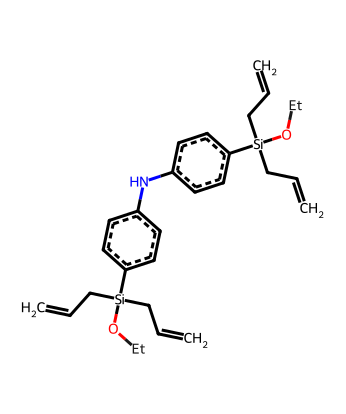 C=CC[Si](CC=C)(OCC)c1ccc(Nc2ccc([Si](CC=C)(CC=C)OCC)cc2)cc1